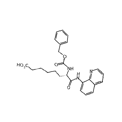 O=C(O)CCCCC[C@H](NC(=O)OCc1ccccc1)C(=O)Nc1cccc2cccnc12